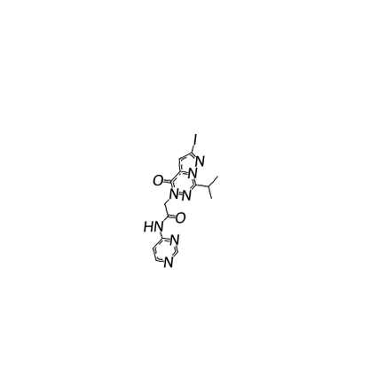 CC(C)c1nn(CC(=O)Nc2ccncn2)c(=O)c2cc(I)nn12